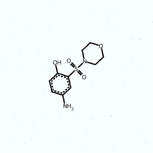 Nc1ccc(O)c(S(=O)(=O)N2CCOCC2)c1